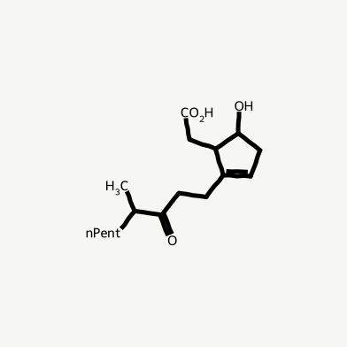 CCCCCC(C)C(=O)CCC1=CCC(O)C1CC(=O)O